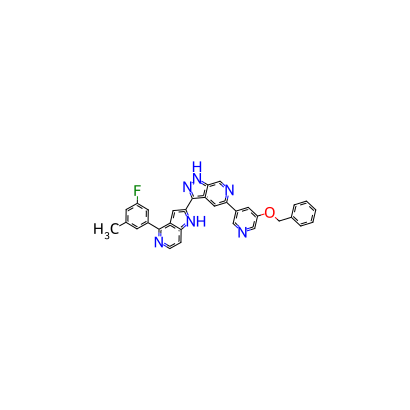 Cc1cc(F)cc(-c2nccc3[nH]c(-c4n[nH]c5cnc(-c6cncc(OCc7ccccc7)c6)cc45)cc23)c1